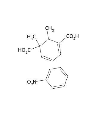 CC1C(C(=O)O)=CC=CC1(C)C(=O)O.O=[N+]([O-])c1ccccc1